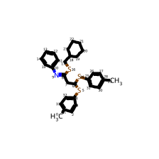 Cc1ccc(SC(CC(=Nc2ccccc2)SCC2CCCCC2)Sc2ccc(C)cc2)cc1